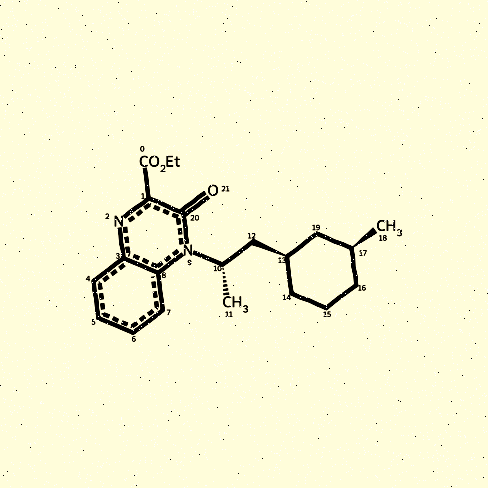 CCOC(=O)c1nc2ccccc2n([C@@H](C)C[C@@H]2CCC[C@H](C)C2)c1=O